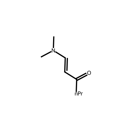 CCCC(=O)/C=C/N(C)C